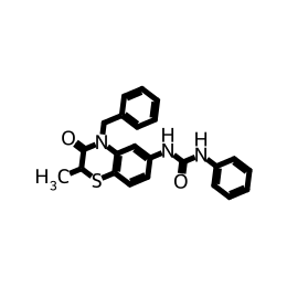 CC1Sc2ccc(NC(=O)Nc3ccccc3)cc2N(Cc2ccccc2)C1=O